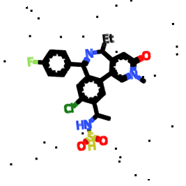 CCC1N=C(c2ccc(F)cc2)c2cc(Cl)c(C(C)N[SH](=O)=O)cc2-c2cn(C)c(=O)cc21